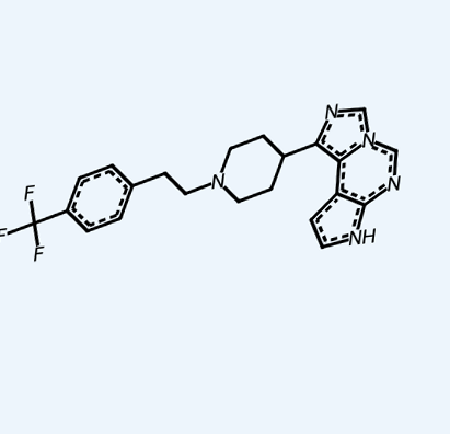 FC(F)(F)c1ccc(CCN2CCC(c3ncn4cnc5[nH]ccc5c34)CC2)cc1